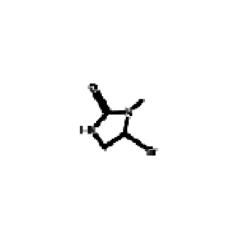 CN1C(=O)N[CH]C1Br